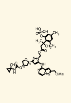 COCc1cc2c(Nc3cc([C@H]4C[C@@H](OC(=O)NC5(C)CC5)CO4)nn3COC(=O)CC(C)(C)c3c(C)cc(C)cc3OP(=O)(O)O)nccn2n1